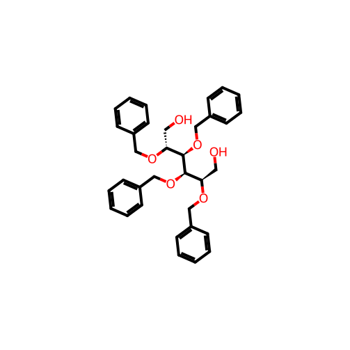 OC[C@@H](OCc1ccccc1)[C@@H](OCc1ccccc1)[C@H](OCc1ccccc1)[C@@H](CO)OCc1ccccc1